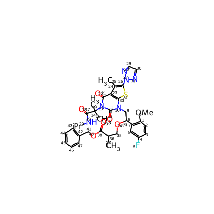 COc1ccc(F)cc1[C@H](Cn1c(=O)n(C(C)(C)C(=O)NC(C)C)c(=O)c2c(C)c(-n3nccn3)sc21)OCC(C)C(=O)OCc1ccccc1